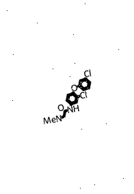 CNCC(=O)Nc1ccc(Oc2cccc(Cl)c2)c(Cl)c1